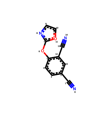 N#Cc1ccc(Oc2n[c]co2)c(C#N)c1